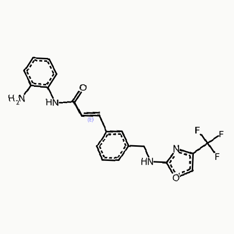 Nc1ccccc1NC(=O)/C=C/c1cccc(CNc2nc(C(F)(F)F)co2)c1